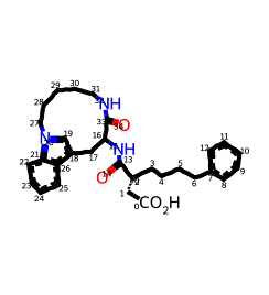 O=C(O)C[C@@H](CCCCc1ccccc1)C(=O)NC1Cc2cn(c3ccccc23)CCCCCNC1=O